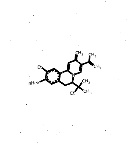 C=C(C)C1=CN2C(=CC1=C)c1cc(CC)c(CCCCCC)cc1CC2C(C)(C)CC